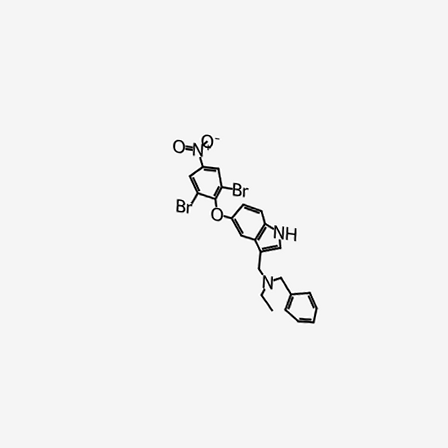 CCN(Cc1ccccc1)Cc1c[nH]c2ccc(Oc3c(Br)cc([N+](=O)[O-])cc3Br)cc12